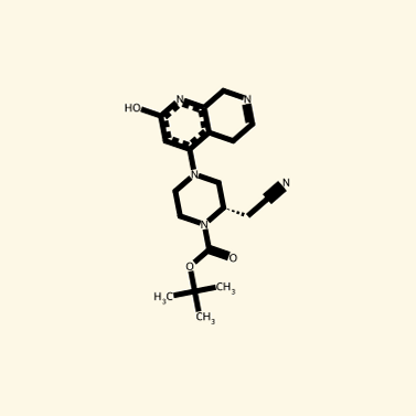 CC(C)(C)OC(=O)N1CCN(c2cc(O)nc3c2CC=NC3)C[C@@H]1CC#N